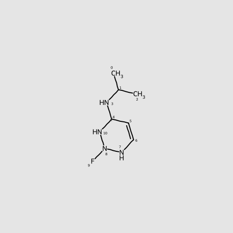 CC(C)N[C]1C=CNN(F)N1